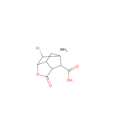 O=C(O)C1C2CC3C(OC(=O)C31)C2Br.[AlH3]